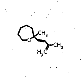 C=C(C)C=CC1(C)CCCCCO1